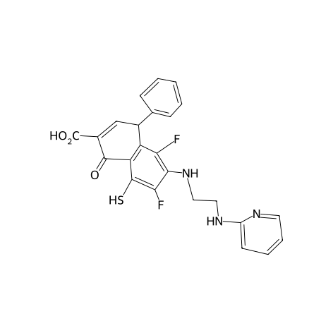 O=C(O)C1=CC(c2ccccc2)c2c(F)c(NCCNc3ccccn3)c(F)c(S)c2C1=O